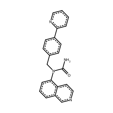 NC(=O)N(Cc1ccc(-c2ccccn2)cc1)c1cccc2cnccc12